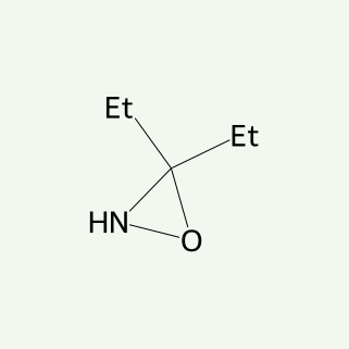 CCC1(CC)NO1